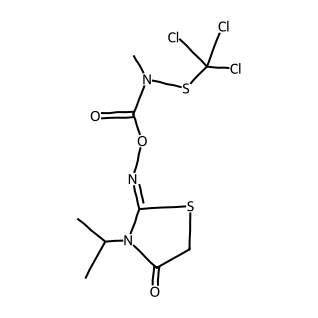 CC(C)N1C(=O)CSC1=NOC(=O)N(C)SC(Cl)(Cl)Cl